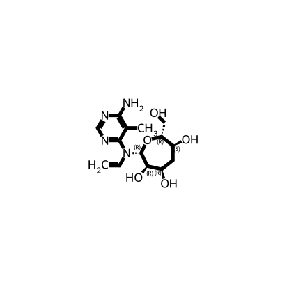 C=CN(c1ncnc(N)c1C)[C@@H]1O[C@H](CO)[C@@H](O)C[C@@H](O)[C@H]1O